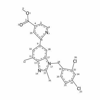 COC(=O)c1ccnc(-c2cc(C)c3nc(C)n(Cc4ccc(Cl)cc4Cl)c3c2)c1